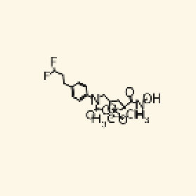 CC(CC1CN(c2ccc(CCC(F)F)cc2)C(=O)O1)(C(=O)NO)S(C)(=O)=O